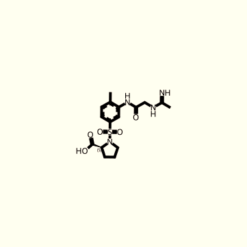 CC(=N)NCC(=O)Nc1cc(S(=O)(=O)N2CCC[C@H]2C(=O)O)ccc1C